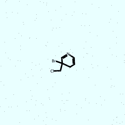 ClCC1(Br)C=NC=CC1